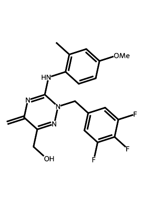 C=C1N=C(Nc2ccc(OC)cc2C)N(Cc2cc(F)c(F)c(F)c2)N=C1CO